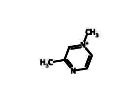 Cc1c[n+](C)ccn1